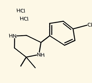 CC1(C)CNCC(c2ccc(Cl)cc2)N1.Cl.Cl